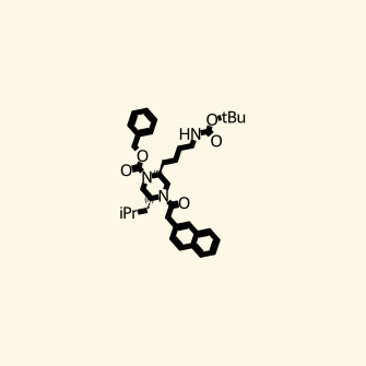 CC(C)C[C@@H]1CN(C(=O)OCc2ccccc2)[C@@H](CCCCNC(=O)OC(C)(C)C)CN1C(=O)Cc1ccc2ccccc2c1